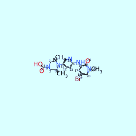 C[C@H]1CN(C(=O)O)C[C@H](C)N1c1ccc(Nc2cc(Br)cn(C)c2=O)nc1